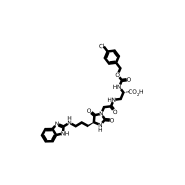 O=C(CN1C(=O)N[C@@H](CCCNc2nc3ccccc3[nH]2)C1=O)NC[C@H](NC(=O)OCc1ccc(Cl)cc1)C(=O)O